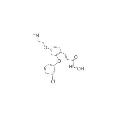 CN(C)CCOc1ccc(/C=C/C(=O)NO)c(Oc2cccc(Cl)c2)c1